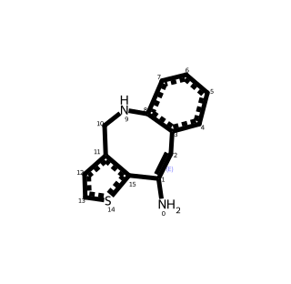 N/C1=C/c2ccccc2NCc2ccsc21